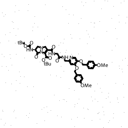 COc1ccc(COc2cnc(CNC(=O)CNC(=O)C3=C(C(=O)OC(C)(C)C)N4C(=O)[C@@H](NC(=O)OC(C)(C)C)CN4C3)cc2OCc2ccc(OC)cc2)cc1